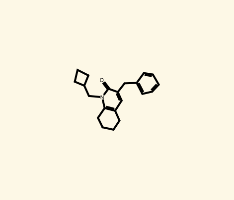 O=c1c(Cc2ccccc2)cc2c(n1CC1CCC1)CCCC2